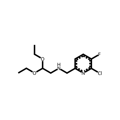 CCOC(CNCc1ccc(F)c(Cl)n1)OCC